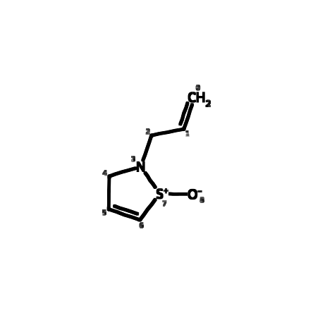 C=CCN1CC=C[S+]1[O-]